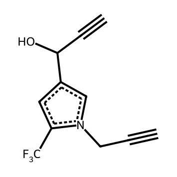 C#CCn1cc(C(O)C#C)cc1C(F)(F)F